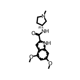 COc1cc(OC)c2cc(C(=O)N[C@@H]3CCN(C)C3)[nH]c2c1